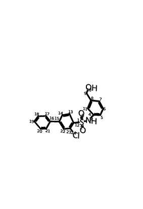 O=S(=O)(Nc1cccc(CO)c1)c1ccc(-c2ccccc2)cc1Cl